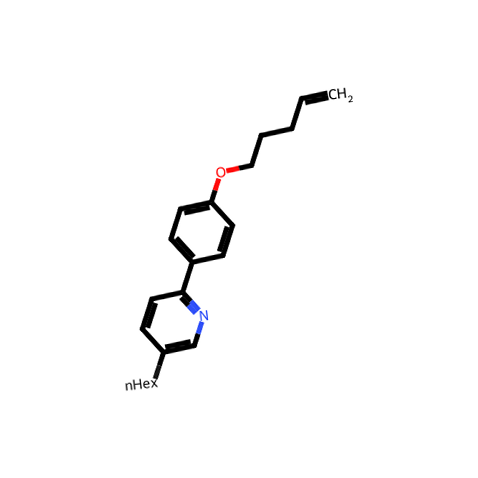 C=CCCCOc1ccc(-c2ccc(CCCCCC)cn2)cc1